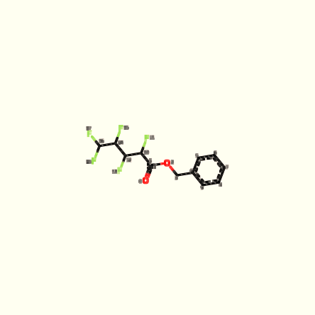 [O]=[Sn]([O]Cc1ccccc1)[CH](F)C(F)C(F)C(F)F